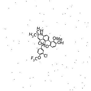 COc1c(O)ccc2c1-c1ccc3c(c1/C(=C/c1ccc(OC(F)(F)F)c(Cl)c1)O2)C(C)=CC(C)(C)N3